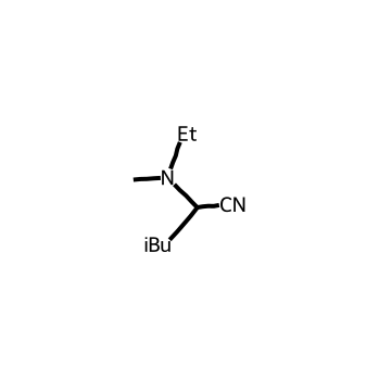 CCC(C)C(C#N)N(C)CC